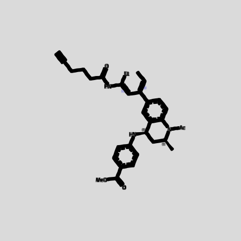 C#CCCCC(=O)N/C(=C/C(=C\C)c1ccc2c(c1)[C@H](Nc1ccc(C(=O)OC)cc1)C[C@H](C)N2C(C)=O)CC